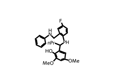 CCCC(Pc1ccc(F)cc1CNc1ccccc1)c1cc(OC)cc(OC)c1O